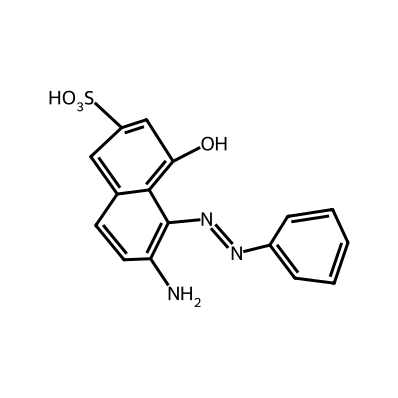 Nc1ccc2cc(S(=O)(=O)O)cc(O)c2c1N=Nc1ccccc1